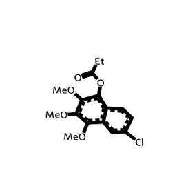 CCC(=O)Oc1c(OC)c(OC)c(OC)c2cc(Cl)ccc12